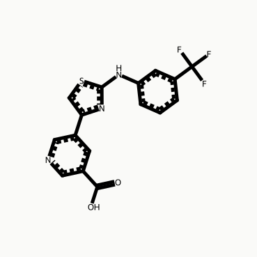 O=C(O)c1cncc(-c2csc(Nc3cccc(C(F)(F)F)c3)n2)c1